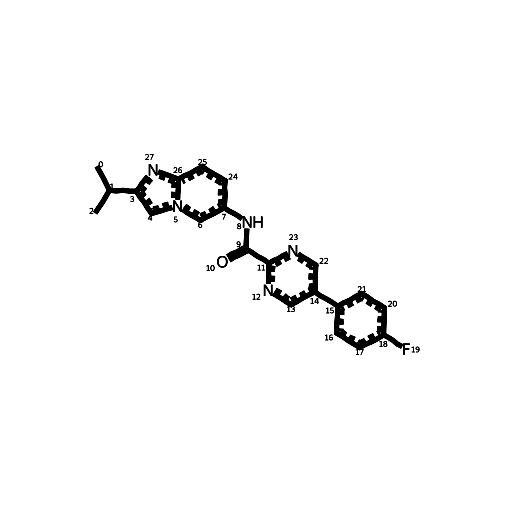 CC(C)c1cn2cc(NC(=O)c3ncc(-c4ccc(F)cc4)cn3)ccc2n1